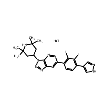 CC1(C)CC(n2nnc3cc(-c4ccc(-c5cn[nH]c5)c(F)c4F)nnc32)CC(C)(C)N1.Cl